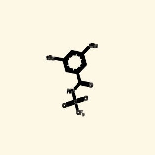 CC(C)(C)c1cc(C(=O)NS(=O)(=O)C(F)(F)F)cc(C(C)(C)C)c1